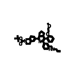 C=CCNCc1cccc(-c2nc(-c3ccc4c(c3)CCN(C(=O)OC(C)(C)C)C4)c3c(c2-c2ccccc2OCCOC)CCC3)c1